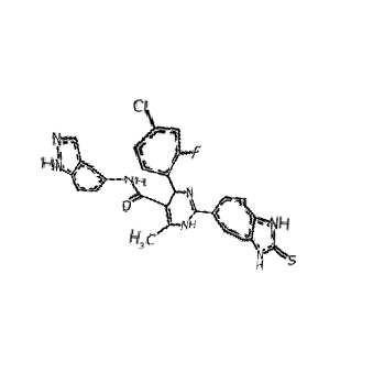 CC1=C(C(=O)Nc2ccc3[nH]ncc3c2)C(c2ccc(Cl)cc2F)N=C(c2ccc3[nH]c(=S)[nH]c3c2)N1